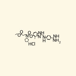 CCOC(=O)CCN(C(=O)Oc1ccc2[nH]c(CNc3ccc(C(=N)N)cc3)nc2c1C)C1CCCC1.Cl